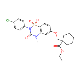 CCOC(=O)C1(COc2ccc3c(c2)N(C)C(=O)N(c2ccc(Cl)cc2)S3(=O)=O)CCCCC1